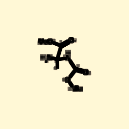 COC(=O)C(C)(N)NC(=O)OC(C)(C)C